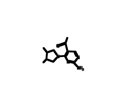 CC(=O)c1cnc(N)nc1N1CC(C)C(C)C1